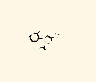 C[Si](C)(C)C1=CN(c2cccnc2F)N(C(N)=O)N1